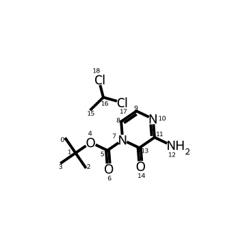 CC(C)(C)OC(=O)n1ccnc(N)c1=O.CC(Cl)Cl